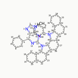 Cn1cnc2c(-c3ccccc3)nc(-n3c4c5ccccc5ccc4c4ccc5c6ccc7ccccc7c6n(-c6ccccc6)c5c43)nc21